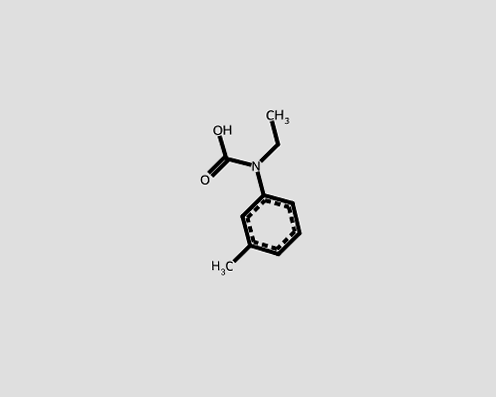 CCN(C(=O)O)c1cccc(C)c1